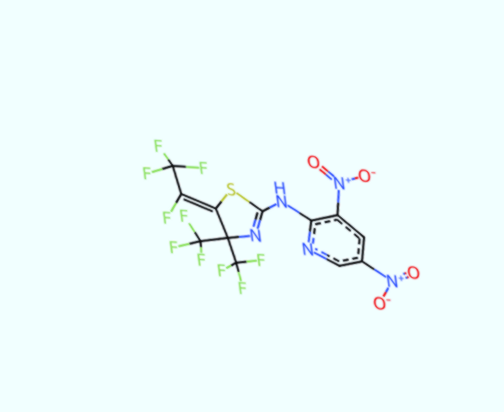 O=[N+]([O-])c1cnc(NC2=NC(C(F)(F)F)(C(F)(F)F)/C(=C(\F)C(F)(F)F)S2)c([N+](=O)[O-])c1